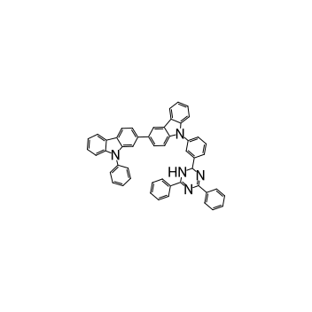 c1ccc(C2=NC(c3cccc(-n4c5ccccc5c5cc(-c6ccc7c8ccccc8n(-c8ccccc8)c7c6)ccc54)c3)NC(c3ccccc3)=N2)cc1